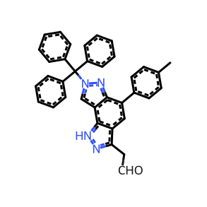 Cc1ccc(-c2cc3c(CC=O)n[nH]c3c3cn(C(c4ccccc4)(c4ccccc4)c4ccccc4)nc23)cc1